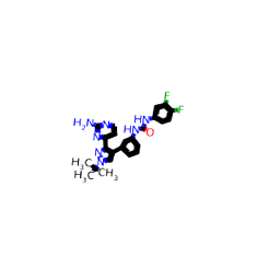 CC(C)(C)n1cc(-c2cccc(NC(=O)Nc3ccc(F)c(F)c3)c2)c(-c2ccnc(N)n2)n1